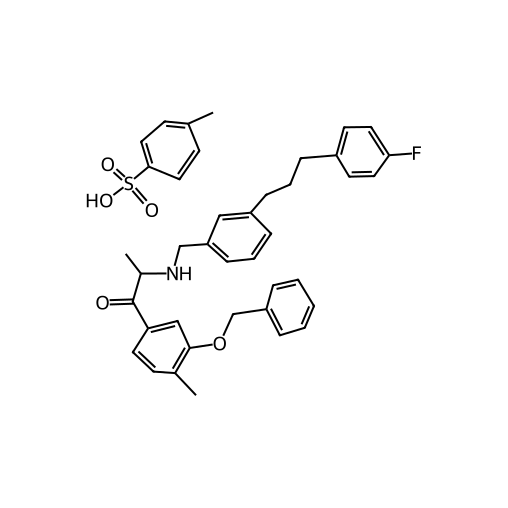 Cc1ccc(C(=O)C(C)NCc2cccc(CCCc3ccc(F)cc3)c2)cc1OCc1ccccc1.Cc1ccc(S(=O)(=O)O)cc1